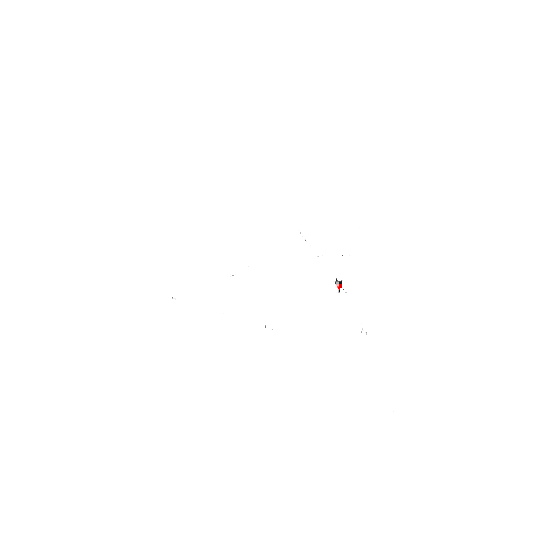 COC1CCC2(CC1)Cc1ccc(C3CC3)cc1C21N=C(N)N(CC2CCN(C)C2)C1=O